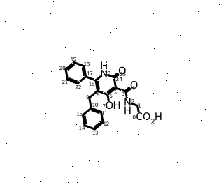 O=C(O)CNC(=O)c1c(O)c(Cc2ccccc2)c(-c2ccccc2)[nH]c1=O